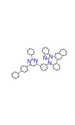 c1ccc(-c2ccc(-c3cc(-c4cccc(N5c6ccccc6-c6cc7ccccc7cc6-n6c5nc5ccccc56)c4)nc(-c4ccccc4)n3)cc2)cc1